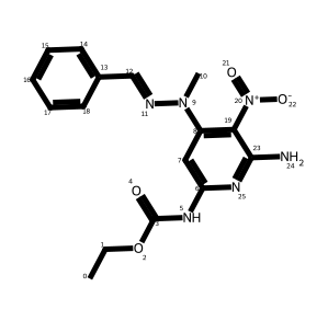 CCOC(=O)Nc1cc(N(C)/N=C/c2ccccc2)c([N+](=O)[O-])c(N)n1